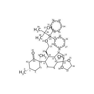 C[C@H]1CC[C@](C)(C2CC[C@@]3(C)C(CCC34OCCO4)[C@@H]2CCO[Si](c2ccccc2)(c2ccccc2)C(C)(C)C)C(=O)C1